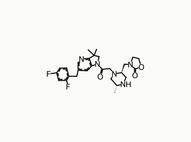 C[C@@H]1CN(CC(=O)N2CC(C)(C)c3ncc(Cc4ccc(F)cc4F)cc32)[C@@H](CN2CCOC2=O)CN1